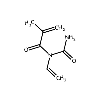 C=CN(C(N)=O)C(=O)C(=C)C